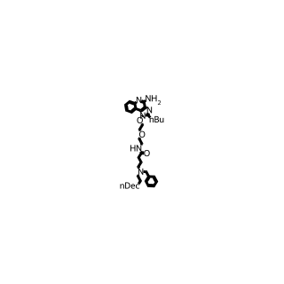 CCCCCCCCCCCCN(CCCC(=O)NCCOCCOn1c(CCCC)nc2c(N)nc3ccccc3c21)Cc1ccccc1